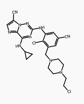 N#Cc1cc(CN2CCN(CCCl)CC2)c(Cl)c(Nc2nc(NC3CC3)c3ncc(C#N)n3n2)c1